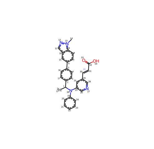 [2H]C(c1ccc(-c2ccc3c(cnn3C)c2)cc1)N(c1ccccc1)c1cncc(/C=C/C(=O)O)c1